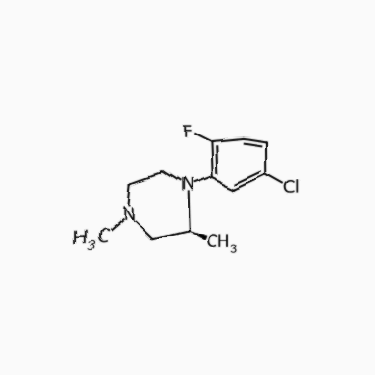 C[C@H]1CN(C)CCN1c1cc(Cl)ccc1F